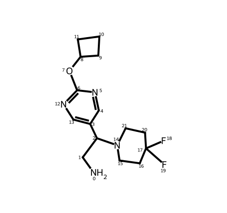 NCC(c1cnc(OC2CCC2)nc1)N1CCC(F)(F)CC1